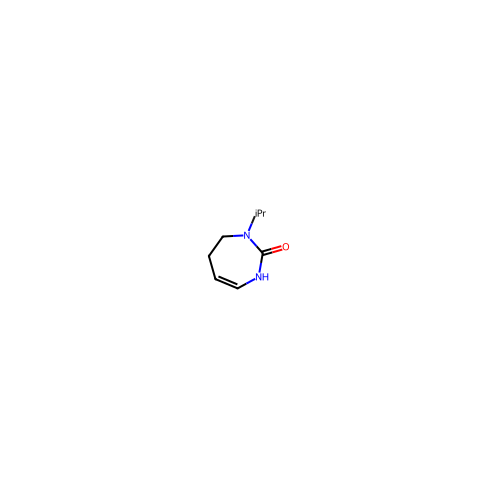 CC(C)N1CCC=CNC1=O